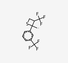 [CH2]C1(c2cccc(C(F)(F)F)c2)SCC1C(F)(F)F